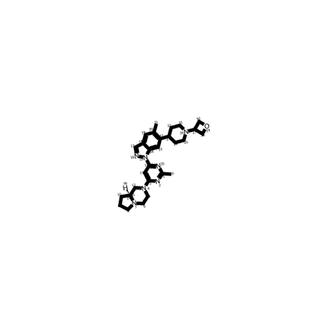 Cc1nc(N2CCN3CCC[C@H]3C2)cc(-n2ncc3cc(C)c(C4CCN(C5COC5)CC4)cc32)n1